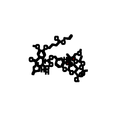 C=CCOC(=O)CCCOc1cc2c(cc1OC)C(=O)N1CC(=C)C[C@H]1C(O)N2C(=O)OCc1ccc(O[C@@H]2O[C@H](C(=O)OC)[C@@H](OC(C)=O)[C@H](OC(C)=O)[C@H]2OC(C)=O)c(C(=O)NCCOC)c1